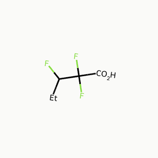 CCC(F)C(F)(F)C(=O)O